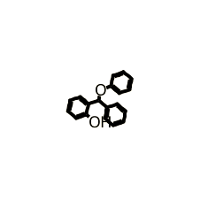 Oc1ccccc1C(Oc1ccccc1)c1ccccc1